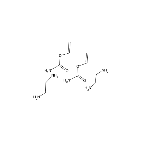 C=COC(N)=O.C=COC(N)=O.NCCN.NCCN